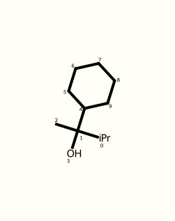 CC(C)C(C)(O)C1CCCCC1